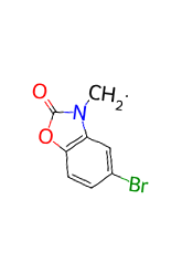 [CH2]n1c(=O)oc2ccc(Br)cc21